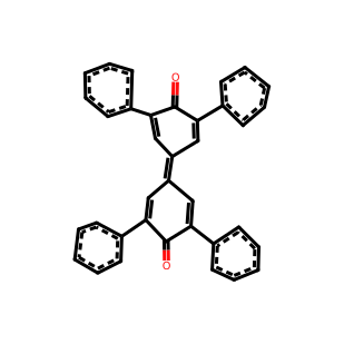 O=C1C(c2ccccc2)=CC(=C2C=C(c3ccccc3)C(=O)C(c3ccccc3)=C2)C=C1c1ccccc1